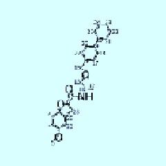 COc1ccc2oc(C(=O)N[C@H](C)COCc3ccc(-c4ccccc4)cc3)cc2c1